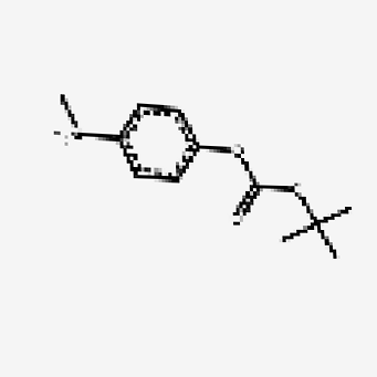 C[SiH2]c1ccc(OC(=O)OC(C)(C)C)cc1